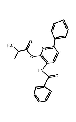 CC(C(=O)Oc1nc(-c2ccccc2)ccc1NC(=O)c1ccccc1)C(F)(F)F